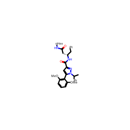 CCCCCCNC(=O)C[C@H](CC(C)C)NC(=O)c1cc(-c2c(OC)cccc2OC)n(C(C)C(C)C)n1